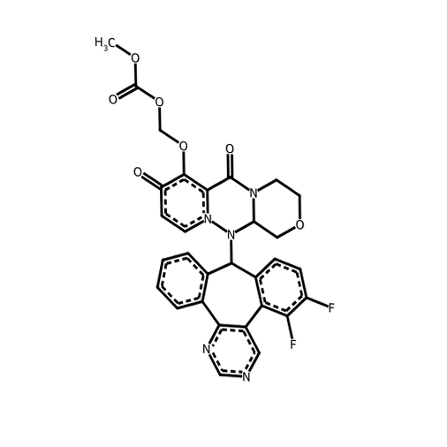 COC(=O)OCOc1c2n(ccc1=O)N(C1c3ccccc3-c3ncncc3-c3c1ccc(F)c3F)C1COCCN1C2=O